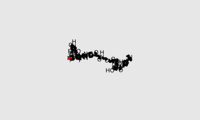 Cc1ncsc1-c1ccc(CNC(=O)[C@@H]2C[C@@H](O)CN2C(=O)C(NC(=O)CCOCCNC(=O)CCC(=O)N2CCN(c3ncc(-c4cc(NC(=O)c5c[nH]c(=O)cc5C(F)(F)F)c(N5C[C@@H](C)N(C)[C@@H](C)C5)cc4F)cn3)CC2)C(C)(C)C)cc1